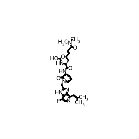 CC(C)=Cc1ncc(F)c2[nH]c(Cn3cccc(NC(=O)[C@H](CC/C=C/C(=O)N(C)C)NC(=O)O)c3=O)nc12